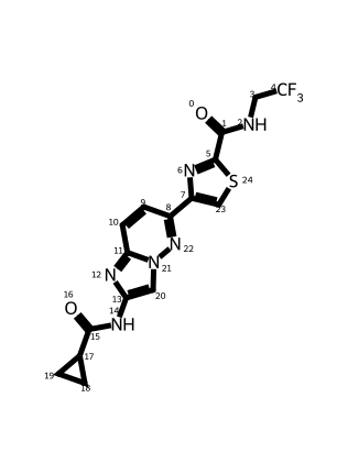 O=C(NCC(F)(F)F)c1nc(-c2ccc3nc(NC(=O)C4CC4)cn3n2)cs1